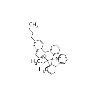 CCCCc1ccc2c3[n+](ccc2c1)C(CC)(CC)C1(c2ccccc2-3)c2ccccc2-c2cccc[n+]21